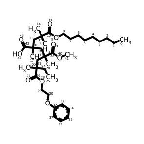 CCCCCCCCCOC(=O)C(C)(C)CC(C)(CC(C)(CC(C)(CC)C(=O)OCCOc1ccccc1)C(=O)OC)C(=O)O